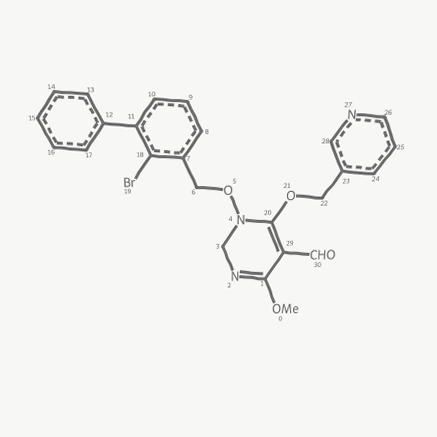 COC1=NCN(OCc2cccc(-c3ccccc3)c2Br)C(OCc2cccnc2)=C1C=O